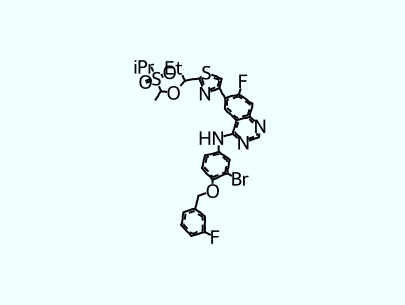 CCC(OC(C)S(=O)(=O)C(C)C)c1nc(-c2cc3c(Nc4ccc(OCc5cccc(F)c5)c(Br)c4)ncnc3cc2F)cs1